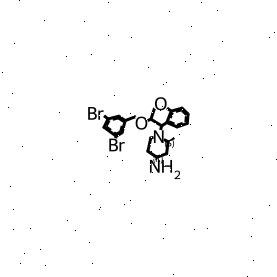 C[C@H]1C[C@H](N)CCN1C1c2ccccc2OCC1OCc1cc(Br)cc(Br)c1